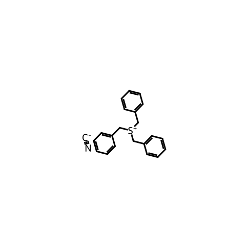 [C-]#N.c1ccc(C[S+](Cc2ccccc2)Cc2ccccc2)cc1